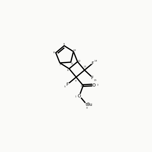 CC(C)(C)OC(=O)C1(F)C2C3C=CC(C3)C2C1(F)F